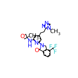 Cn1cnnc1CCc1cc(NC2(C)COC2)nc(N2Cc3c(cccc3C(F)(F)F)C2=O)c1